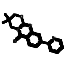 CC1(C)COc2nc3cc(-c4ccccn4)ccc3c(=O)n2C1